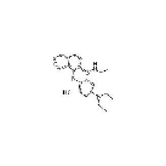 CCNS1=c2ccc3ccccc3c2=Nc2ccc(N(CC)CC)cc21.Cl